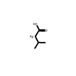 CC(C)CC(=O)O.[Ag]